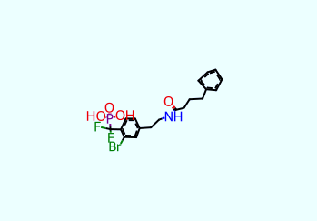 O=C(CCCc1ccccc1)NCCc1ccc(C(F)(F)P(=O)(O)O)c(Br)c1